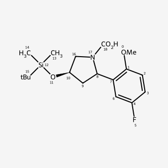 COc1ccc(F)cc1C1C[C@@H](O[Si](C)(C)C(C)(C)C)CN1C(=O)O